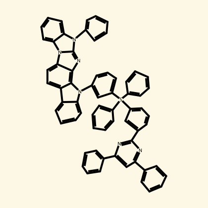 c1ccc(-c2cc(-c3ccccc3)nc(-c3cccc(S(c4ccccc4)(c4ccccc4)c4cccc(-n5c6ccccc6c6ccc7c(nc8n(-c9ccccc9)c9ccccc9n78)c65)c4)c3)n2)cc1